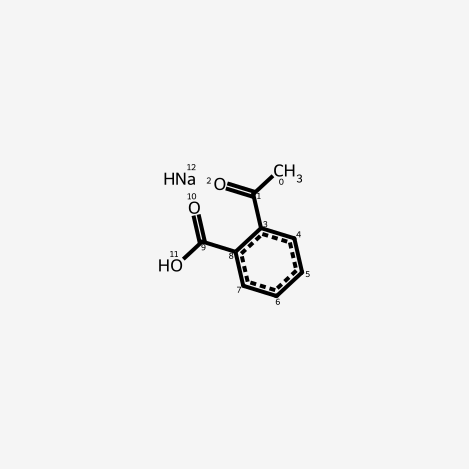 CC(=O)c1ccccc1C(=O)O.[NaH]